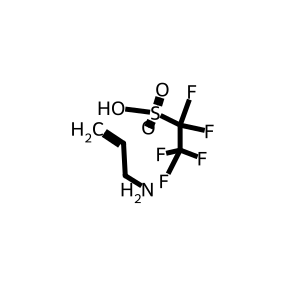 C=CCN.O=S(=O)(O)C(F)(F)C(F)(F)F